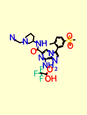 Cc1ccc(S(C)(=O)=O)cc1-c1cnc2c(N)nc(C(=O)NC3CCCN(CC#N)C3)cn12.O=C(O)C(F)(F)F